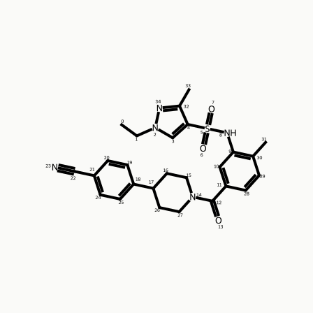 CCn1cc(S(=O)(=O)Nc2cc(C(=O)N3CCC(c4ccc(C#N)cc4)CC3)ccc2C)c(C)n1